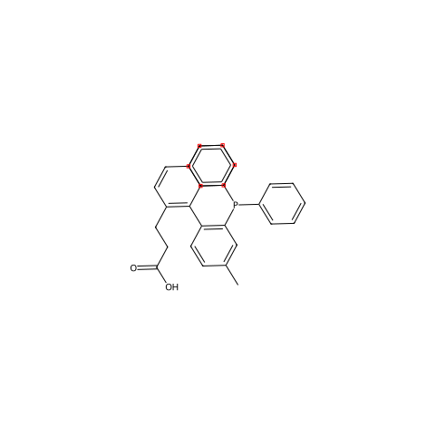 Cc1ccc(-c2c(CCC(=O)O)ccc3ccccc23)c(P(c2ccccc2)c2ccccc2)c1